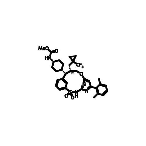 COC(=O)N[C@H]1CC[C@H](C2c3cccc(c3)S(=O)(=O)Nc3nc(cc(-c4c(C)cccc4C)n3)OC[C@H]2CC2(C(F)(F)F)CC2)CC1